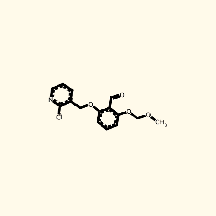 COCOc1cccc(OCc2cccnc2Cl)c1C=O